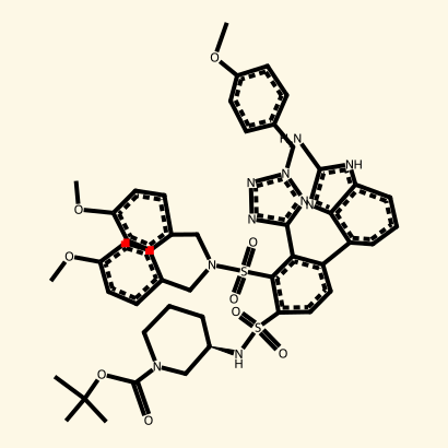 COc1ccc(CN(Cc2ccc(OC)cc2)S(=O)(=O)c2c(S(=O)(=O)N[C@@H]3CCCN(C(=O)OC(C)(C)C)C3)ccc(-c3cccc4[nH]c(N)nc34)c2-c2nnn(Cc3ccc(OC)cc3)n2)cc1